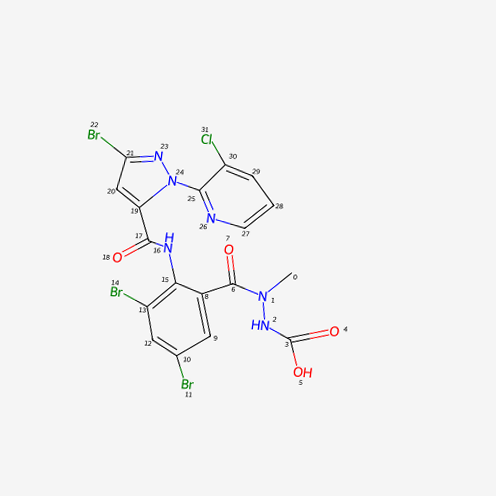 CN(NC(=O)O)C(=O)c1cc(Br)cc(Br)c1NC(=O)c1cc(Br)nn1-c1ncccc1Cl